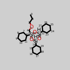 CCCOC[Si]1(C2CCCCC2)O[SiH](C2CCCCC2)O[SiH](C2CCCCC2)O1